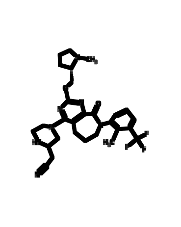 Cc1c(N2CCCc3c(nc(OC[C@@H]4CCCN4C)nc3N3CCNC(CC#N)C3)C2=O)cccc1C(F)(F)F